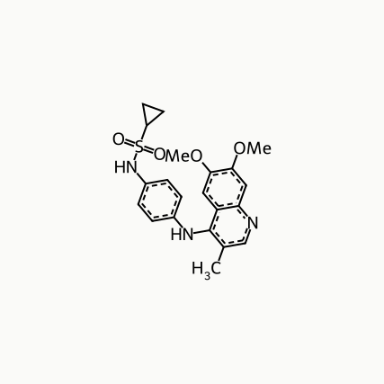 COc1cc2ncc(C)c(Nc3ccc(NS(=O)(=O)C4CC4)cc3)c2cc1OC